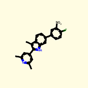 Cc1cc(-c2[nH]c3cc(-c4ccc(F)c([N+](=O)[O-])c4)ccc3c2C)cc(C)n1